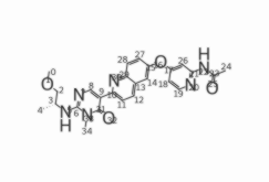 COC[C@@H](C)Nc1ncc(-c2ccc3cc(Oc4ccnc(NC(C)=O)c4)ccc3n2)c(=O)n1C